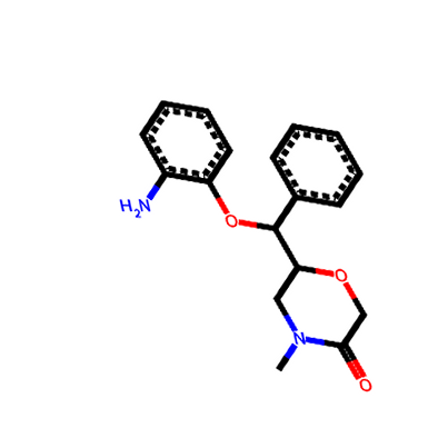 CN1CC(C(Oc2ccccc2N)c2ccccc2)OCC1=O